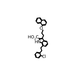 O=C(O)c1[nH]c2c(CCc3ccccc3Cl)cccc2c1CCCOc1cccc2ccccc12